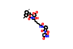 C[C@H]1C=C2C=C[C@H](C)[C@H](CC[C@@H]3C[C@@H](O)CC(=O)O3)[C@H]2[C@@H](OC(=O)NCCCCCCCC(=O)Nc2cccc3c2C(=O)N(C2CCC(=O)NC2=O)C3=O)C1